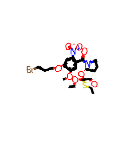 CCOC(C=O)(O[C@H]1CCCN1C(=O)c1cc(OC)c(OCCCBr)cc1[N+](=O)[O-])SCC